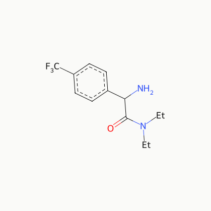 CCN(CC)C(=O)C(N)c1ccc(C(F)(F)F)cc1